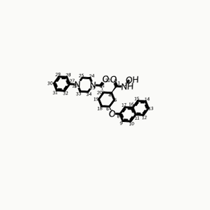 O=C(NO)[C@H]1C[C@H](Oc2ccc3ccccc3c2)CC[C@@H]1C(=O)N1CCN(c2ccccc2)CC1